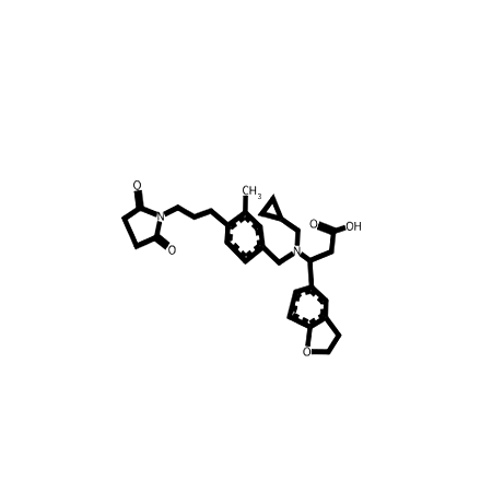 Cc1cc(CN(CC2CC2)C(CC(=O)O)c2ccc3c(c2)CCO3)ccc1CCCN1C(=O)CCC1=O